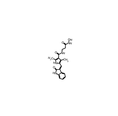 Cc1[nH]c(/C=C2\C(=O)Nc3ccccc32)c(C)c1C(=O)NCCC(=O)NO